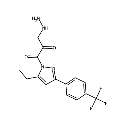 CCc1cc(-c2ccc(C(F)(F)F)cc2)nn1C(=O)C(=O)CNN